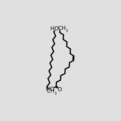 CCCCCCCC/C=C\CCCCCCCC(=O)O.CCCCCCCCCCCCCCCCO